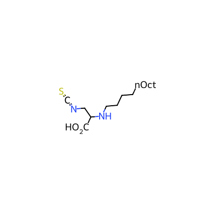 CCCCCCCCCCCCNC(CN=C=S)C(=O)O